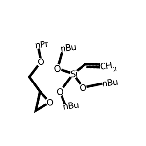 C=C[Si](OCCCC)(OCCCC)OCCCC.[CH2]CCOCC1CO1